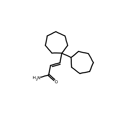 NC(=O)C=CC1(C2CCCCCC2)CCCCCC1